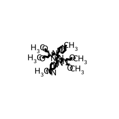 COCCN(CCOC)c1nc(N2CCc3c(ncn3C)C2)c2nc(N(CCOC)CCOC)nc(N3CCN(C)CC3)c2n1